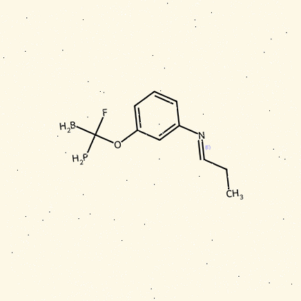 BC(F)(P)Oc1cccc(/N=C/CC)c1